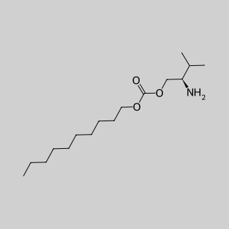 CCCCCCCCCCOC(=O)OC[C@H](N)C(C)C